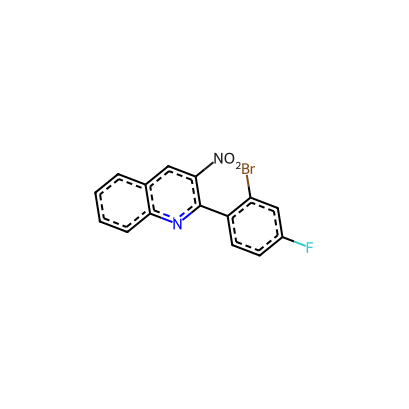 O=[N+]([O-])c1cc2ccccc2nc1-c1ccc(F)cc1Br